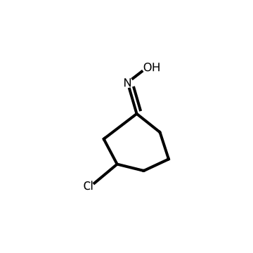 ON=C1CCCC(Cl)C1